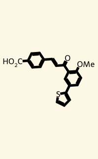 COc1ccc(-c2cccs2)cc1C(=O)C=Cc1ccc(C(=O)O)cc1